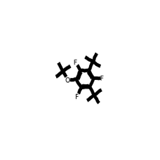 CC(C)(C)Oc1c(F)c(C(C)(C)C)c(F)c(C(C)(C)C)c1F